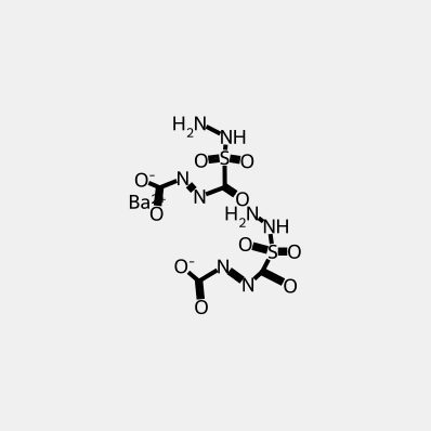 NNS(=O)(=O)C(=O)N=NC(=O)[O-].NNS(=O)(=O)C(=O)N=NC(=O)[O-].[Ba+2]